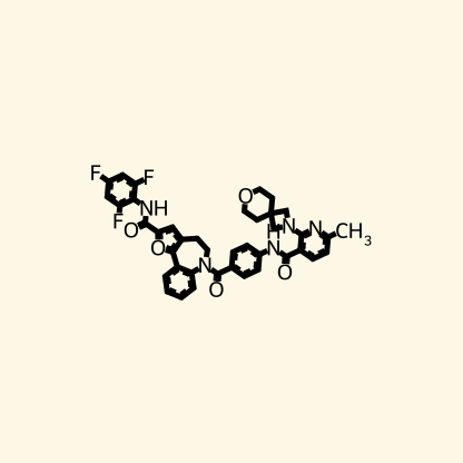 Cc1ccc(C(=O)Nc2ccc(C(=O)N3CCc4cc(C(=O)Nc5c(F)cc(F)cc5F)oc4-c4ccccc43)cc2)c(N2CC3(CCOCC3)C2)n1